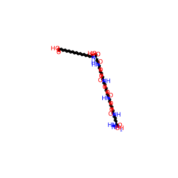 NN[C@@H](CCCCNC(=O)COCCOCCNC(=O)COCCOCCNC(=O)COCCOCCNC(=O)CC[C@H](NC(=O)CCCCCCCCCCCCCCCCC(=O)O)C(=O)O)C(=O)O